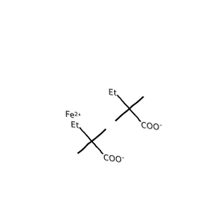 CCC(C)(C)C(=O)[O-].CCC(C)(C)C(=O)[O-].[Fe+2]